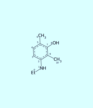 CCNc1ccc(C)c(O)c1C